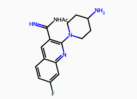 CC(=O)NC(=N)c1cc2ccc(F)cc2nc1N1CCC(N)CC1